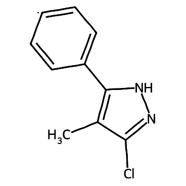 Cc1c(Cl)n[nH]c1-c1cc[c]cc1